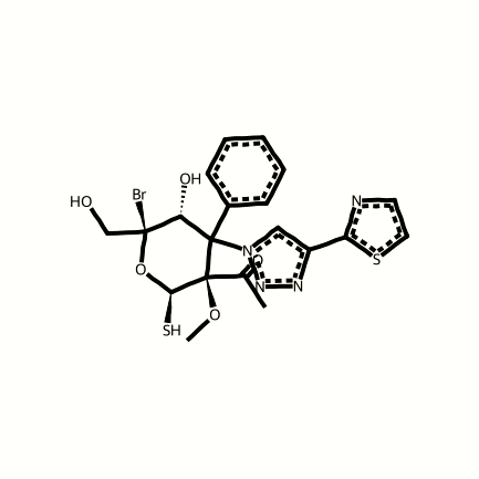 CO[C@@]1(C(C)=O)[C@@H](S)O[C@](Br)(CO)[C@H](O)C1(c1ccccc1)n1cc(-c2nccs2)nn1